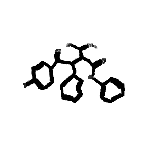 C=C(C(C)C)C(C(=O)Nc1ccccc1)C(C(=O)c1ccc(F)cc1)c1ccccc1